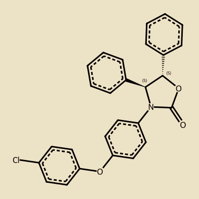 O=C1O[C@@H](c2ccccc2)[C@H](c2ccccc2)N1c1ccc(Oc2ccc(Cl)cc2)cc1